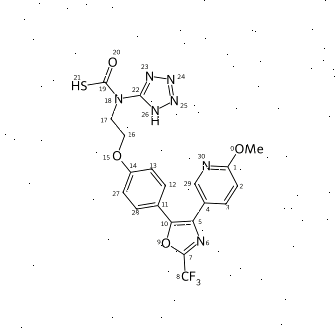 COc1ccc(-c2nc(C(F)(F)F)oc2-c2ccc(OCCN(C(=O)S)c3nnn[nH]3)cc2)cn1